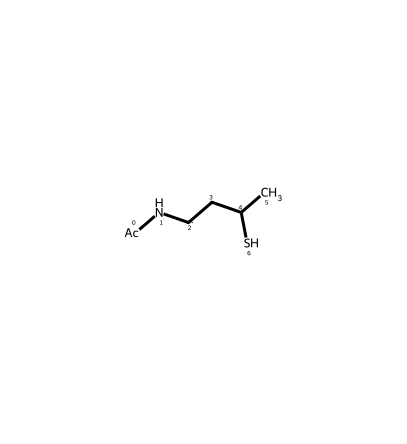 CC(=O)N[CH]CC(C)S